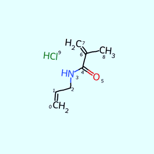 C=CCNC(=O)C(=C)C.Cl